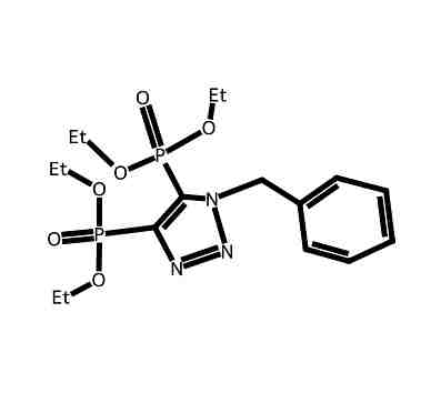 CCOP(=O)(OCC)c1nnn(Cc2ccccc2)c1P(=O)(OCC)OCC